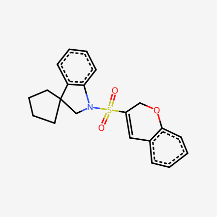 O=S(=O)(C1=Cc2ccccc2OC1)N1CC2(CCCC2)c2ccccc21